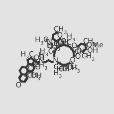 CC[C@H]1OC(=O)C(C)[C@@H](O[C@@H]2C[C@](C)(OC)[C@H](O)C(C)O2)[C@H](C)[C@@H](O[C@@H]2O[C@H](C)C[C@@H](N(C)C)[C@H]2O)[C@](C)(O)C[C@@H](C)CN(CCCNC(=O)[C@@]2(O)[C@@H](C)CC3C4CCC5=CC(=O)C=C[C@]5(C)[C@@]4(Cl)[C@@H](O)C[C@@]32C)[C@H](C)[C@@H](O)[C@]1(C)O